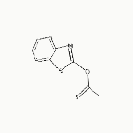 CC(=S)Oc1nc2ccccc2s1